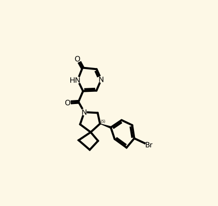 O=C(c1cncc(=O)[nH]1)N1C[C@@H](c2ccc(Br)cc2)C2(CCC2)C1